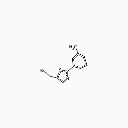 Cc1cccc(-c2ncc(CBr)s2)c1